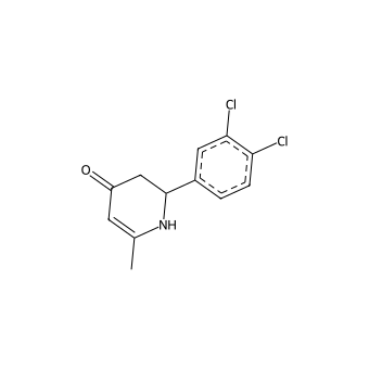 CC1=CC(=O)CC(c2ccc(Cl)c(Cl)c2)N1